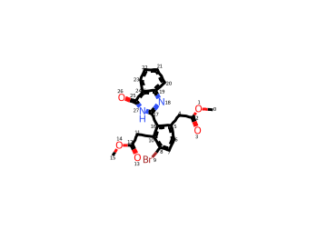 COC(=O)Cc1ccc(Br)c(CC(=O)OC)c1-c1nc2ccccc2c(=O)[nH]1